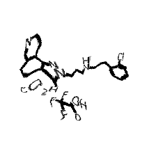 O=C(O)C(F)(F)F.O=C(O)c1c2c(nn1CCCNCCc1ccccc1Cl)-c1ccncc1CC2